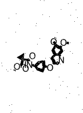 COC(=O)C1(C(=O)Nc2ccc(Oc3cnc4cc(OC)c(OC)cc4c3)cc2)CC1